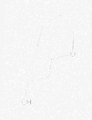 CCCC1[CH]CCCO1